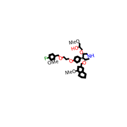 COC[C@@H](O)CO[C@@H]1CNC[C@H](OCc2cc(OC)c3ccccc3c2)[C@H]1c1ccc(OCCCOCc2ccc(F)cc2OC)cc1